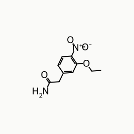 CCOc1cc(CC(N)=O)ccc1[N+](=O)[O-]